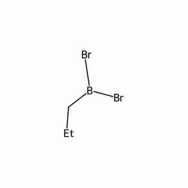 CCCB(Br)Br